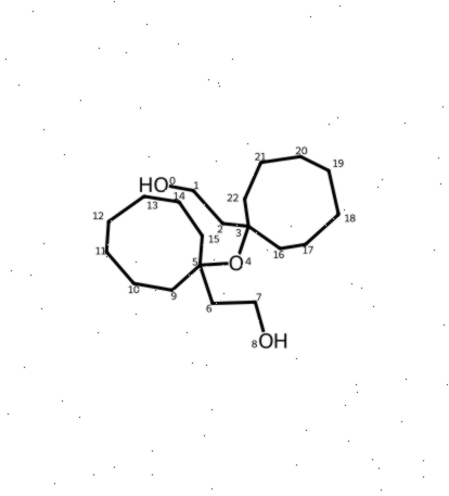 OCCC1(OC2(CCO)CCCCCCC2)CCCCCCC1